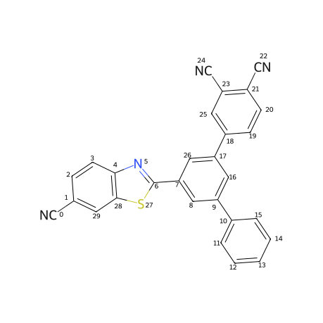 N#Cc1ccc2nc(-c3cc(-c4ccccc4)cc(-c4ccc(C#N)c(C#N)c4)c3)sc2c1